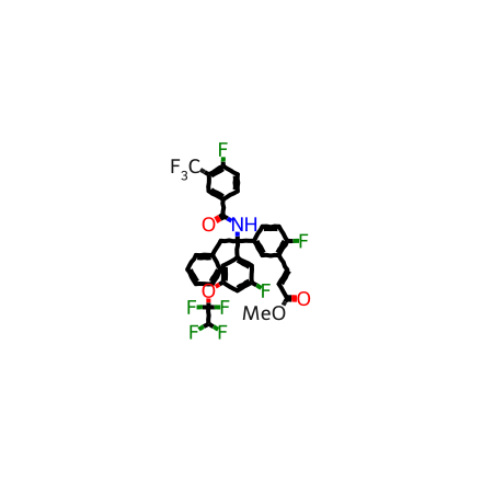 COC(=O)C=Cc1cc(C(Cc2ccccc2)(NC(=O)c2ccc(F)c(C(F)(F)F)c2)c2cc(F)cc(OC(F)(F)C(F)F)c2)ccc1F